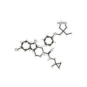 CCC(CO)(CO)COc1ccc([C@H]2c3[nH]c4ccc(Cl)cc4c3CCN2C(=O)OCC2(C)CC2)cc1